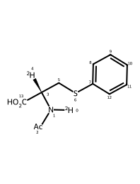 [2H]N(C(C)=O)[C@@]([2H])(CSc1ccccc1)C(=O)O